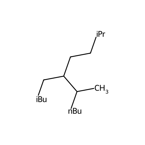 [CH2]C(C)CCC(CC(C)CC)C(C)CCCC